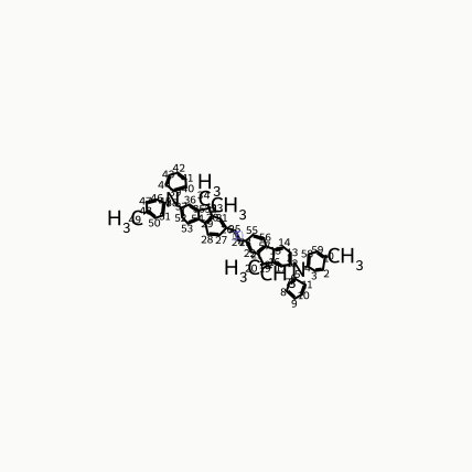 Cc1ccc(N(c2ccccc2)c2ccc3c(c2)C(C)(C)c2cc(/C=C/c4ccc5c(c4)C(C)(C)c4cc(N(c6ccccc6)c6ccc(C)cc6)ccc4-5)ccc2-3)cc1